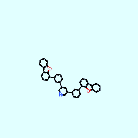 c1cc(-c2cncc(-c3cccc(-c4cccc5c4oc4ccccc45)c3)c2)cc(-c2cccc3c2oc2ccccc23)c1